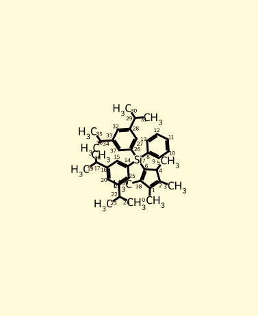 CC1=C(C)C(C)C([Si](c2ccccc2)(c2cc(C(C)C)cc(C(C)C)c2)c2cc(C(C)C)cc(C(C)C)c2)=C1C